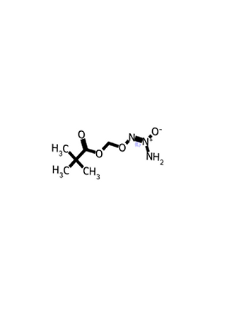 CC(C)(C)C(=O)OCO/N=[N+](\N)[O-]